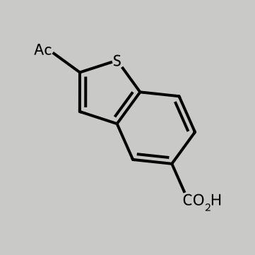 CC(=O)c1cc2cc(C(=O)O)ccc2s1